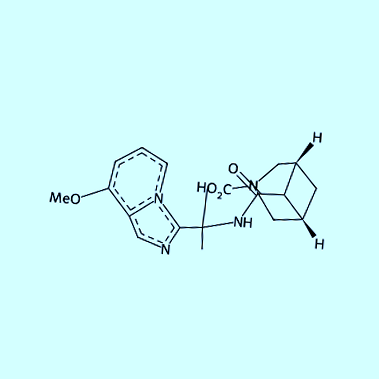 COc1cccn2c(C(C)(C)NC(=O)C3[C@@H]4C[C@H]3CN(C(=O)O)C4)ncc12